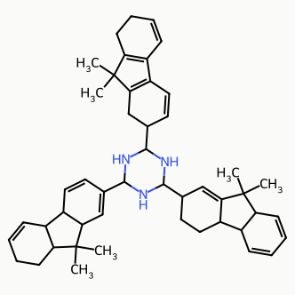 CC1(C)C2=C(C=CCC2)C2=C1CC(C1NC(C3=CC4C(C=C3)C3C=CCCC3C4(C)C)NC(C3C=C4C(CC3)C3C=CC=CC3C4(C)C)N1)C=C2